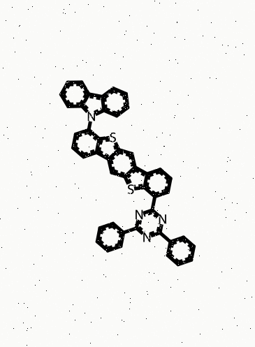 c1ccc(-c2nc(-c3ccccc3)nc(-c3cccc4c3sc3cc5c(cc34)sc3c(-n4c6ccccc6c6ccccc64)cccc35)n2)cc1